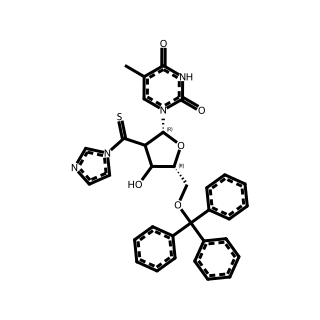 Cc1cn([C@@H]2O[C@H](COC(c3ccccc3)(c3ccccc3)c3ccccc3)C(O)C2C(=S)n2ccnc2)c(=O)[nH]c1=O